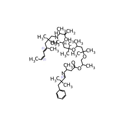 C=C(O[C@H](C)CC(C)(C)OC(C)CC(C)(C)OCC(C)OC(=O)CC(C)/N=C/C(C)(C)Cc1ccccc1)C(C)NCC(C)(C)C/C(C)=C/C=C\C